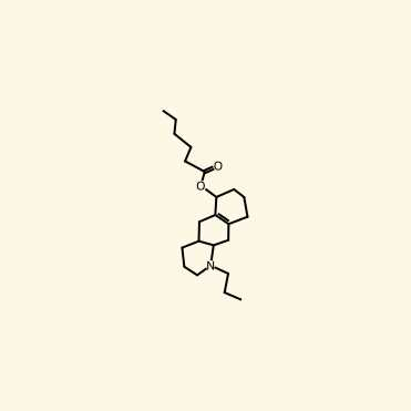 CCCCCC(=O)OC1CCCC2=C1CC1CCCN(CCC)C1C2